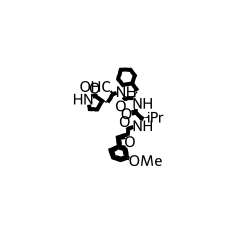 COc1cccc2cc(C(=O)N[C@H](C(=O)N[C@@H](CC3CCCCC3)C(=O)N[C@H](C=O)C[C@@H]3CCNC3=O)C(C)C)oc12